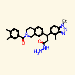 CCn1nnc2c(C)c(C(CC(=O)NN)c3ccc4c(c3)CN(C(=O)c3ccc(C)c(C)c3)CC4)ccc21